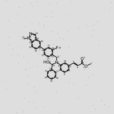 COC(=O)/C=C/c1cccc(N(Cc2ccc(-c3ccc4c(cnn4C)c3)cc2F)C(O)c2ccccc2)c1